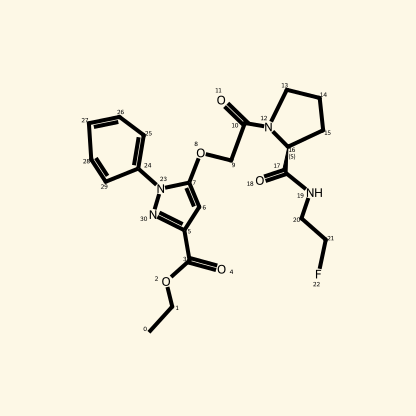 CCOC(=O)c1cc(OCC(=O)N2CCC[C@H]2C(=O)NCCF)n(-c2ccccc2)n1